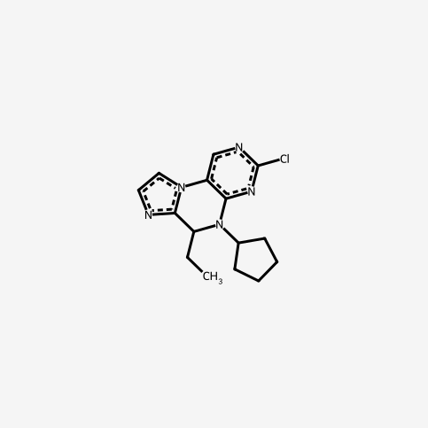 CCC1c2nccn2-c2cnc(Cl)nc2N1C1CCCC1